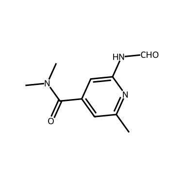 Cc1cc(C(=O)N(C)C)cc(NC=O)n1